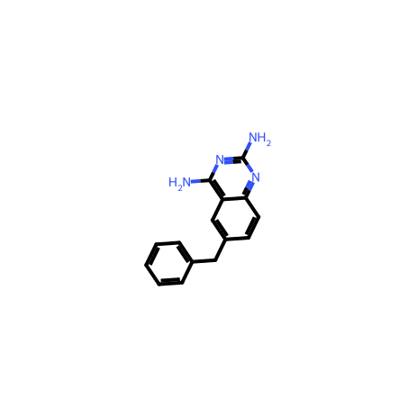 Nc1nc(N)c2cc(Cc3ccccc3)ccc2n1